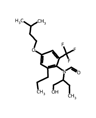 CCCc1cc(OCCC(C)C)cc(C(F)(F)F)c1N(C=O)C(CC)CO